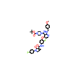 COc1ccc(Cn2nc(N3CCN(C(=O)OC(C)(C)C)CC3)c3c(Oc4ccc(NC(=O)C56CC5CN(c5ccc(F)cc5)C6=O)cc4F)ccnc32)cc1